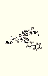 CC(C)(C)OC(=O)N1CC(S(=O)(=O)C(c2nnc(CS(N)(=O)=O)o2)c2nc3ccc(-c4ccccc4)cc3s2)C1